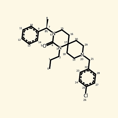 CCCN1C(=O)N([C@H](C)c2ccccc2)CCC12CCN(Cc1ccc(Cl)cc1)CC2